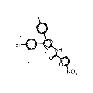 Cc1ccc(-c2nc(NC(=O)c3ccc([N+](=O)[O-])o3)sc2-c2ccc(Br)cc2)cc1